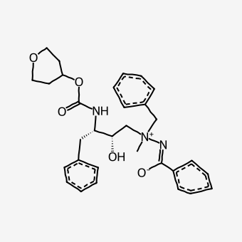 C[N+](Cc1ccccc1)(C[C@H](O)[C@H](Cc1ccccc1)NC(=O)OC1CCOCC1)/N=C(\[O-])c1ccccc1